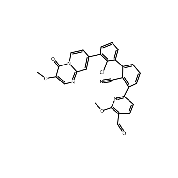 COc1nc(-c2cccc(-c3cccc(-c4ccn5c(=O)c(OC)cnc5c4)c3Cl)c2C#N)ccc1C=O